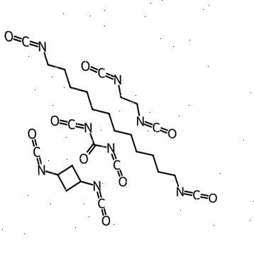 O=C=NC(=O)N=C=O.O=C=NC1CC(N=C=O)C1.O=C=NCCCCCCCCCCCCN=C=O.O=C=NCCN=C=O